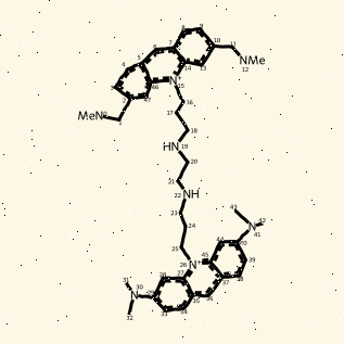 CNCc1ccc2cc3ccc(CNC)cc3[n+](CCCNCCNCCC[n+]3c4cc(N(C)C)ccc4cc4ccc(N(C)C)cc43)c2c1